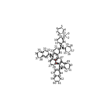 CC1(C)c2ccccc2-c2ccc(N(C3=CCCC=C3)c3ccc(N(c4ccccc4)c4ccc5ccccc5c4)c(-c4ccc5c(c4)c4ccccc4n5-c4ccc5ccccc5c4)c3)cc21